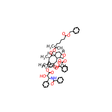 CC(=O)O[C@@]12CO[C@@H]1C[C@H](O[Si](C)(C)CCCCC(=O)OCc1ccccc1)[C@@]1(C)C(=O)[C@H](C)C3=C(C)[C@@H](OC(=O)[C@H](O)[C@@H](NC(=O)c4ccccc4)c4ccccc4)C[C@@](O)([C@@H](OC(=O)c4ccccc4)C12)C3(C)C